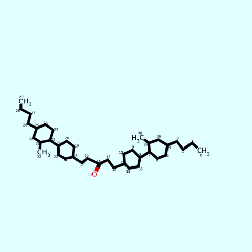 CCCCC1CCC(C2CCC(CCC(=O)CCC3CCC(C4CCC(CCCC)CC4C)CC3)CC2)C(C)C1